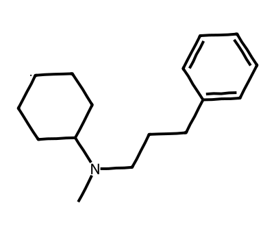 CN(CCCc1ccccc1)C1CC[CH]CC1